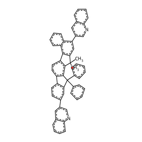 CC1(C)c2cc(-c3cnc4ccccc4c3)c3ccccc3c2-c2ccc3c(c21)C(c1ccccc1)(c1ccccc1)c1cc(-c2cnc4ccccc4c2)ccc1-3